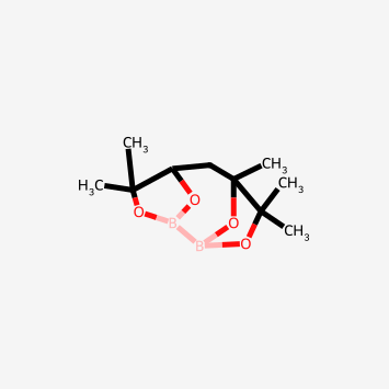 CC1(C)OB2OC1CC1(C)OB2OC1(C)C